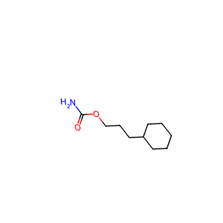 NC(=O)OCCCC1CCCCC1